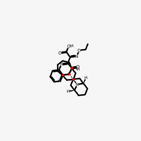 CCO/N=C(\C(=O)O)c1nc2ccccc2n([C@H]2C[C@H]3CCC[C@@H](C2)N3[C@@H]2C[C@@H]3CCCC[C@@H](C3)C2)c1=O